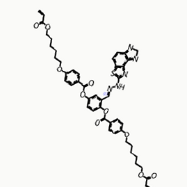 C=CC(=O)OCCCCCCOc1ccc(C(=O)Oc2ccc(OC(=O)c3ccc(OCCCCCCOC(=O)C=C)cc3)c(/C=N/Nc3nc4c5c(ccc4s3)=NCN=5)c2)cc1